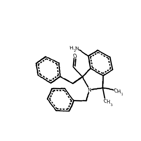 CC1(C)c2cccc(N)c2C(C=O)(Cc2ccccc2)N1Cc1ccccc1